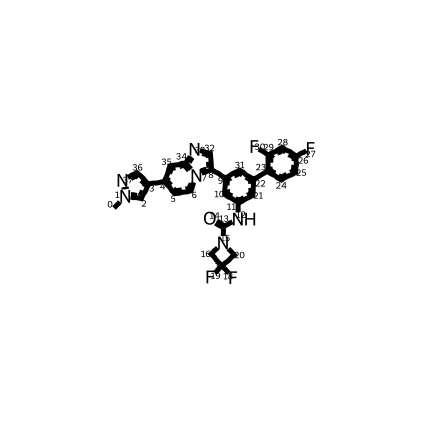 Cn1cc(-c2ccn3c(-c4cc(NC(=O)N5CC(F)(F)C5)cc(-c5ccc(F)cc5F)c4)cnc3c2)cn1